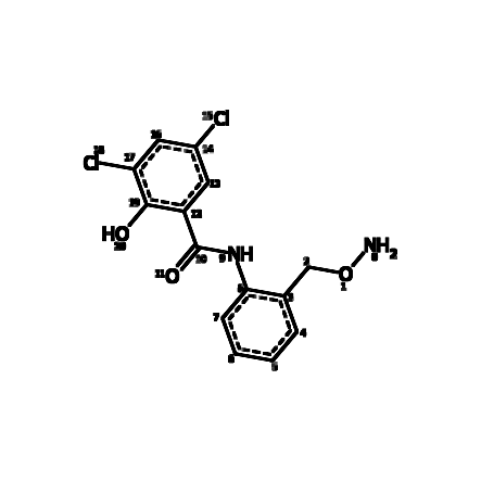 NOCc1ccccc1NC(=O)c1cc(Cl)cc(Cl)c1O